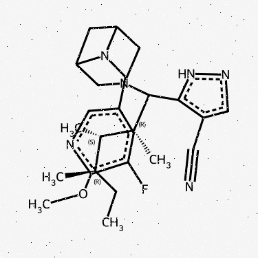 CC[C@@H](C)[C@H](C)[C@@H](C)C(c1[nH]ncc1C#N)N1CC2CC(C1)N2Cc1cnc(OC)c(F)c1